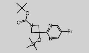 CC(C)(C)OC(=O)N1CC(O[Si](C)(C)C)(c2ncc(Br)cn2)C1